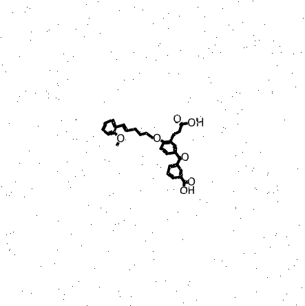 COc1ccccc1C=CCCCCOc1ccc(C(=O)c2cccc(C(=O)O)c2)cc1CCC(=O)O